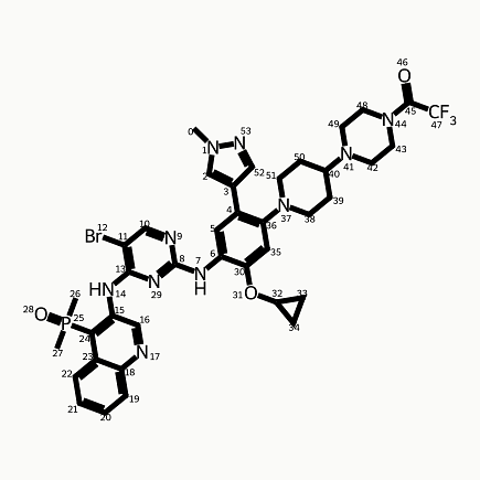 Cn1cc(-c2cc(Nc3ncc(Br)c(Nc4cnc5ccccc5c4P(C)(C)=O)n3)c(OC3CC3)cc2N2CCC(N3CCN(C(=O)C(F)(F)F)CC3)CC2)cn1